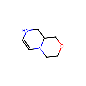 [C]1OCCN2C=CNCC12